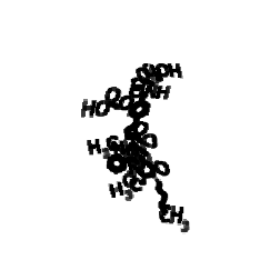 CCCCC[C@@H](C(=O)NCNC(=O)c1ccc(-c2ccc(C(=O)N[C@@H](CC(=O)O)C(=O)O)c(OCC(=O)O)c2)o1)[C@@H](CC)N(C=O)OC(=O)c1ccccc1NC